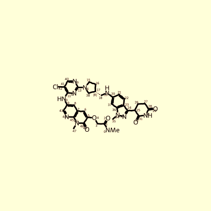 CNC(=O)COc1cc2cc(Nc3nc(N4CC[C@H](CNc5ccc6c(C7CCC(=O)NC7=O)nn(C)c6c5)C4)ncc3Cl)cnc2n(C)c1=O